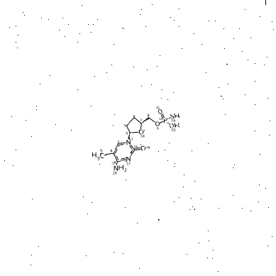 Cc1cn([C@H]2CC[C@@H](COP(=O)(O)S)O2)c(=O)nc1N